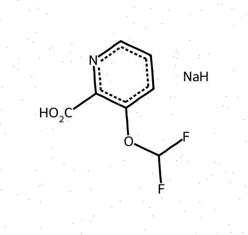 O=C(O)c1ncccc1OC(F)F.[NaH]